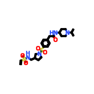 C=CS(=O)(=O)NCC1CCN(S(=O)(=O)c2ccc(CC(=O)NC3CCN(C(C)C)CC3)cc2)C1